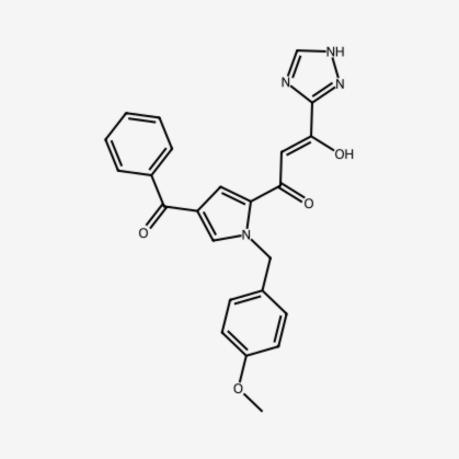 COc1ccc(Cn2cc(C(=O)c3ccccc3)cc2C(=O)C=C(O)c2nc[nH]n2)cc1